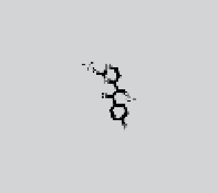 CSc1nccc(C(=NO)C(=O)c2ccc(F)cc2)n1